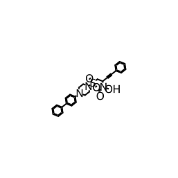 O=CN(O)C(C#Cc1ccccc1)CS(=O)(=O)N1CCN(c2ccc(-c3ccccc3)cc2)CC1